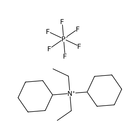 CC[N+](CC)(C1CCCCC1)C1CCCCC1.F[P-](F)(F)(F)(F)F